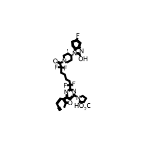 C#C/C=C\c1c(C)oc2c(N3CCC[C@H]3C(=O)O)nc(C(F)(F)CCCCC(F)(F)C(=O)N3CC[C@H](n4c(O)nc5cc(F)ccc54)[C@@H](C)C3)nc12